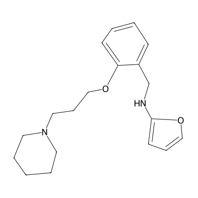 c1coc(NCc2ccccc2OCCCN2CCCCC2)c1